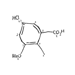 COc1cncc(C(=O)O)c1C.Cl